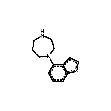 c1cc(N2CCCNCC2)c2ccsc2c1